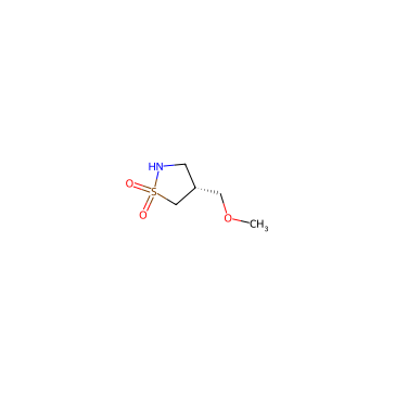 COC[C@H]1CNS(=O)(=O)C1